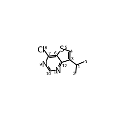 CC(C)c1csc2c(Cl)ncnc12